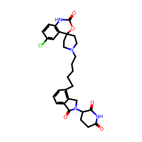 O=C1CCC(N2Cc3c(CCCCCN4CCC5(CC4)OC(=O)Nc4ccc(Cl)cc45)cccc3C2=O)C(=O)N1